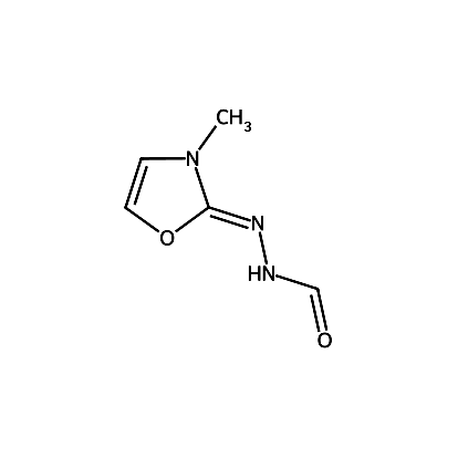 Cn1ccoc1=NNC=O